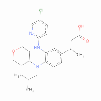 CC(C)CN(c1ccc(C(C)CC(=O)O)cc1Nc1ccc(Cl)cn1)C1CCOCC1